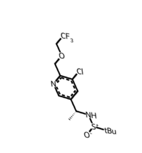 C[C@@H](N[S+]([O-])C(C)(C)C)c1cnc(COCC(F)(F)F)c(Cl)c1